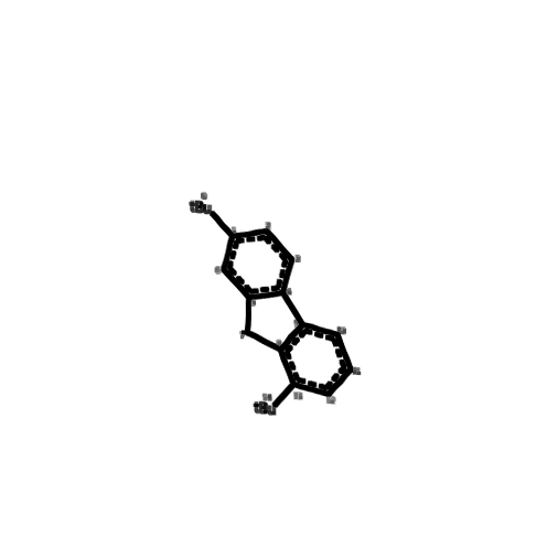 CC(C)(C)c1ccc2c(c1)[CH]c1c-2cccc1C(C)(C)C